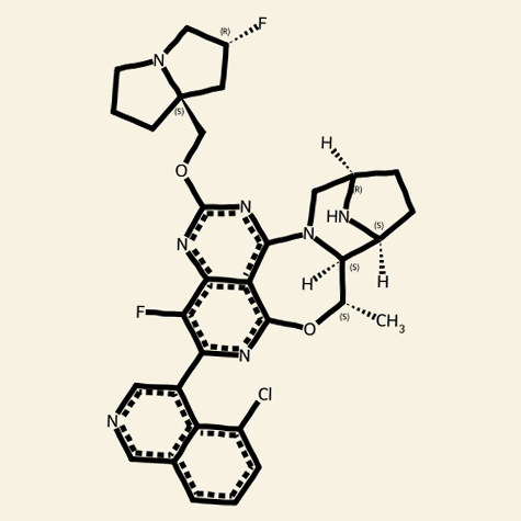 C[C@@H]1Oc2nc(-c3cncc4cccc(Cl)c34)c(F)c3nc(OC[C@@]45CCCN4C[C@H](F)C5)nc(c23)N2C[C@H]3CC[C@H](N3)[C@@H]12